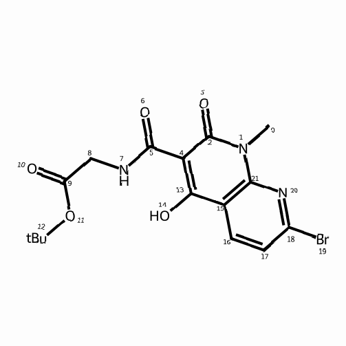 Cn1c(=O)c(C(=O)NCC(=O)OC(C)(C)C)c(O)c2ccc(Br)nc21